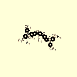 Cc1ccc(N(c2ccc3cc4c(cc3c2)oc2cc3oc5cc6cc(N(c7ccc(C)cc7)c7ccc(C)c(C)c7C)ccc6cc5c3c(C)c24)c2ccc(C)c(C)c2C)cc1